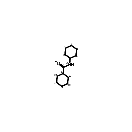 O=C(NC1CCCCC1)C1CCCCC1